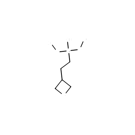 CCO[Si](C)(CCC1COC1)OCC